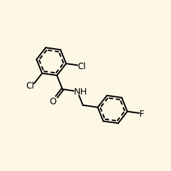 O=C(NCc1ccc(F)cc1)c1c(Cl)cccc1Cl